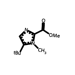 COC(=O)c1ncc(C(C)(C)C)n1C